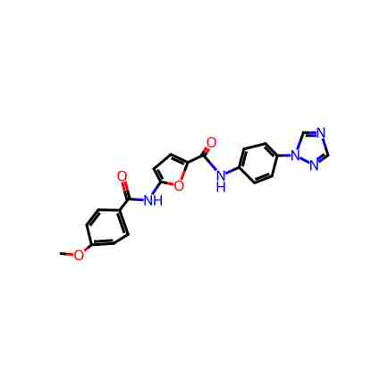 COc1ccc(C(=O)Nc2ccc(C(=O)Nc3ccc(-n4cncn4)cc3)o2)cc1